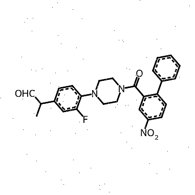 CC(C=O)c1ccc(N2CCN(C(=O)c3cc([N+](=O)[O-])ccc3-c3ccccc3)CC2)c(F)c1